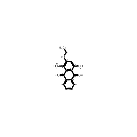 CCOc1cc(O)c2c(c1N)C(=O)c1ccccc1C2=O